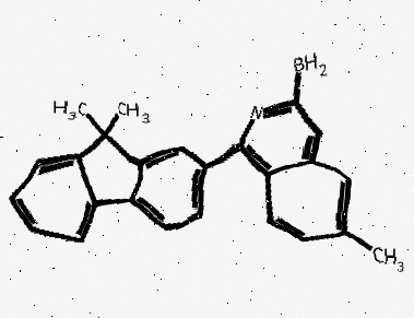 Bc1cc2cc(C)ccc2c(-c2ccc3c(c2)C(C)(C)c2ccccc2-3)n1